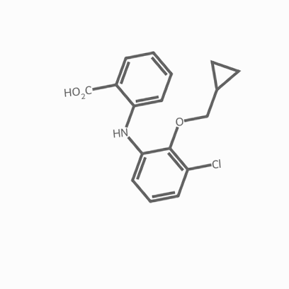 O=C(O)c1ccccc1Nc1cccc(Cl)c1OCC1CC1